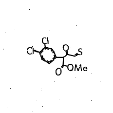 COC(=O)C(C(=O)C=S)c1ccc(Cl)c(Cl)c1